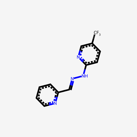 FC(F)(F)c1ccc(NN=Cc2ccccn2)nc1